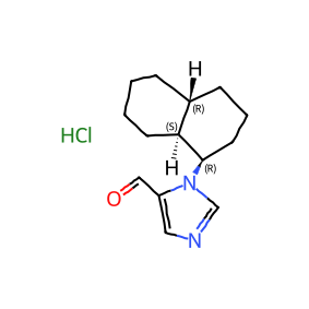 Cl.O=Cc1cncn1[C@@H]1CCC[C@H]2CCCC[C@@H]21